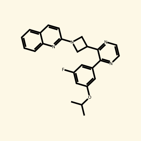 CC(C)Oc1cc(F)cc(-c2nccnc2C2CN(c3ccc4ccccc4n3)C2)c1